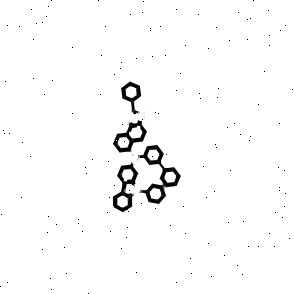 c1ccc(-c2cccc(N(c3ccc4c5ccccc5n(-c5ccccc5)c4c3)c3cccc4c3ccc3nc(-c5ccccc5)oc34)c2)cc1